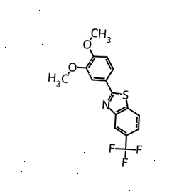 COc1ccc(-c2nc3cc(C(F)(F)F)ccc3s2)cc1OC